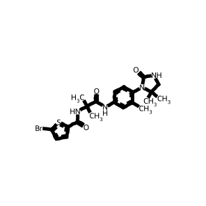 Cc1cc(NC(=O)C(C)(C)NC(=O)c2ccc(Br)s2)ccc1N1C(=O)NCC1(C)C